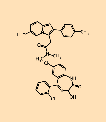 Cc1ccc(-c2nc3ccc(C)cn3c2CC(=O)N(C)C)cc1.O=C1Nc2ccc(Cl)cc2C(c2ccccc2Cl)=NC1O